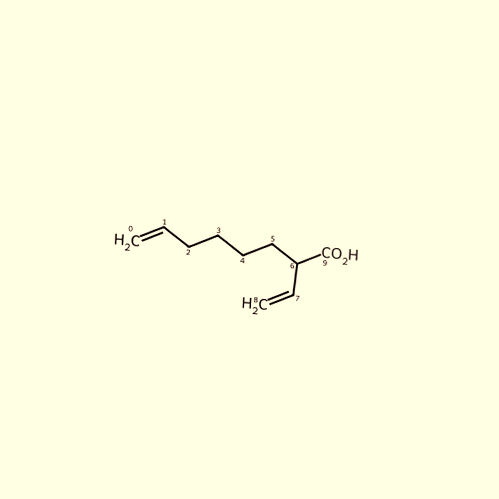 C=CCCCCC(C=C)C(=O)O